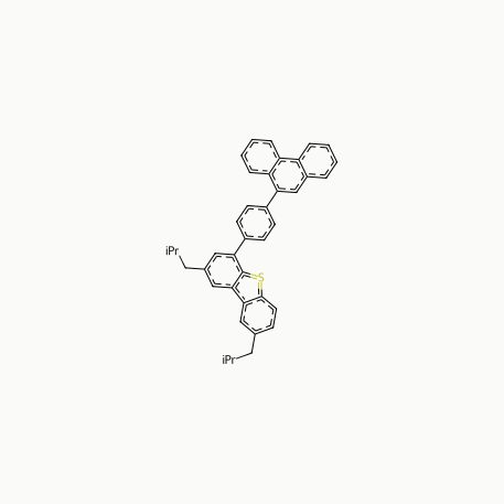 CC(C)Cc1ccc2sc3c(-c4ccc(-c5cc6ccccc6c6ccccc56)cc4)cc(CC(C)C)cc3c2c1